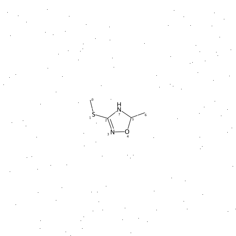 CSC1=NOC(C)N1